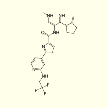 C=C1CCCN1C(=N)/C(=C\NC)NC(=O)C1=CCC(c2ccnc(NCC(F)(F)F)c2)=N1